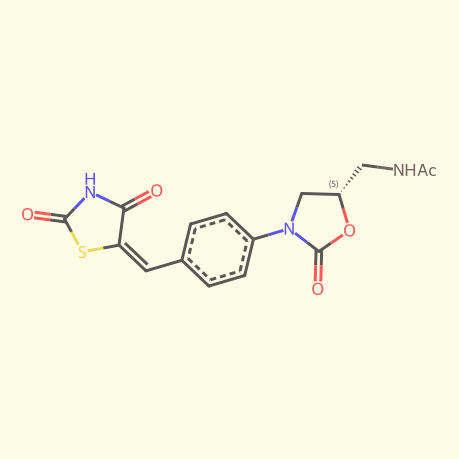 CC(=O)NC[C@H]1CN(c2ccc(C=C3SC(=O)NC3=O)cc2)C(=O)O1